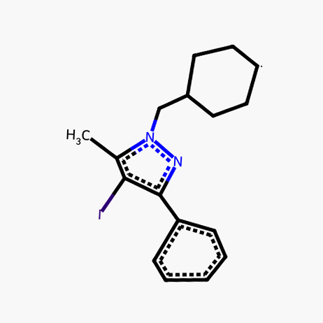 Cc1c(I)c(-c2ccccc2)nn1CC1CC[CH]CC1